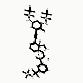 CC1=C(C#CC2=CCC[C@]3(C)[C@@H]([C@H](C)C(C)c4cccc(C(C)(C)O[Si](C)(C)C)c4)CC[C@@H]23)C[C@@H](O[Si](C)(C)C(C)(C)C)C[C@@H]1O[Si](C)(C)C(C)(C)C